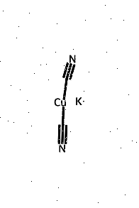 N#[C][Cu][C]#N.[K]